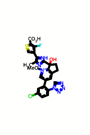 CO[n+]1cc(-c2cc(Cl)ccc2-n2cnnn2)cc2c1C(O)(c1nc(C)c(-c3csc(C(=O)O)c3F)[nH]1)CC2